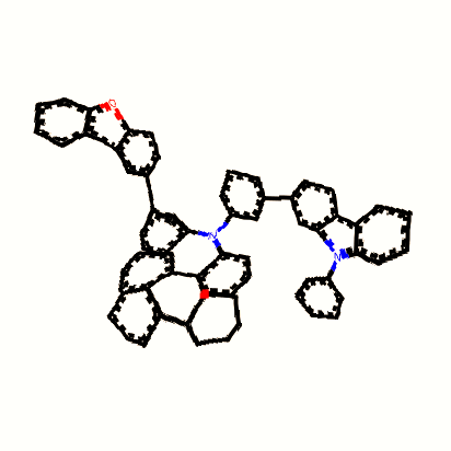 c1ccc(-n2c3ccccc3c3ccc(-c4cccc(N(c5cccc(-c6ccc7oc8ccccc8c7c6)c5)c5ccccc5-c5cccc6cccc(C7CCCCC7)c56)c4)cc32)cc1